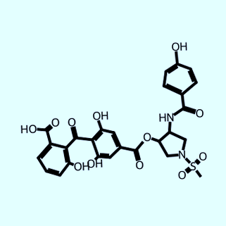 CS(=O)(=O)N1CC(NC(=O)c2ccc(O)cc2)C(OC(=O)c2cc(O)c(C(=O)c3c(O)cccc3C(=O)O)c(O)c2)C1